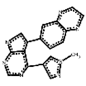 Cn1cc(-c2ncnc3[nH]cc(-c4ccc5nccnc5c4)c23)cn1